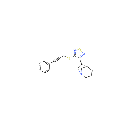 C(#Cc1ccccc1)CSc1nsnc1C1CN2CCCC1C2